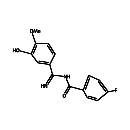 COc1ccc(C(=N)NC(=O)c2ccc(F)cc2)cc1O